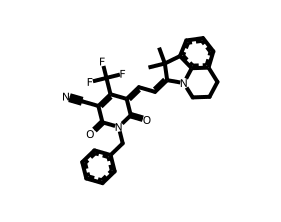 CC1(C)/C(=C\C=C2/C(=O)N(Cc3ccccc3)C(=O)C(C#N)=C2C(F)(F)F)N2CCCc3cccc1c32